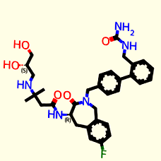 CC(C)(CC(=O)N[C@@H]1Cc2cc(F)ccc2CN(Cc2ccc(-c3ccccc3CNC(N)=O)cc2)C1=O)NC[C@H](O)CO